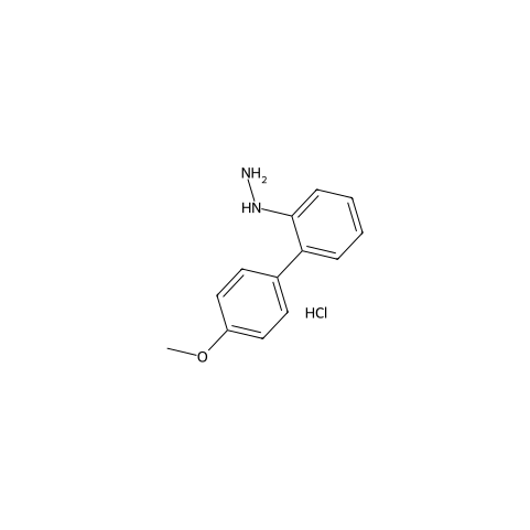 COc1ccc(-c2ccccc2NN)cc1.Cl